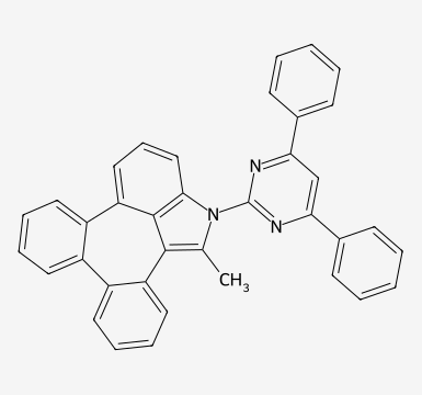 Cc1c2c3c(cccc3n1-c1nc(-c3ccccc3)cc(-c3ccccc3)n1)-c1ccccc1-c1ccccc1-2